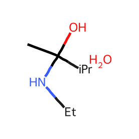 CCNC(C)(O)C(C)C.O